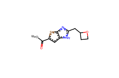 COC(=O)c1cc2[nH]c(CC3CCO3)nc2s1